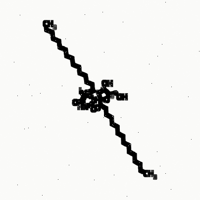 CCCCCCCCCCCCCCCC(=O)[C@@H]1[C@H](O)[C@@H](CO)O[C@@]1(C(=O)CCCCCCCCCCCCCCC)n1cc(I)c(=O)[nH]c1=O